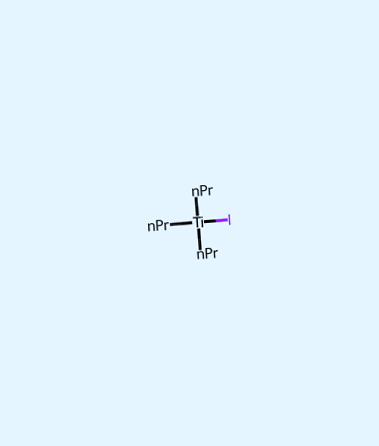 CC[CH2][Ti]([I])([CH2]CC)[CH2]CC